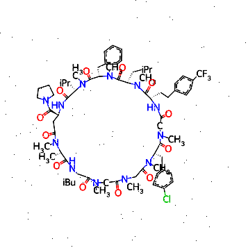 CC[C@H](C)[C@@H]1NC(=O)[C@H](C)N(C)C(=O)C[C@@H](C(=O)N2CCCC2)NC(=O)[C@H](C(C)C)N(C)C(=O)[C@H](Cc2ccccc2)N(C)C(=O)[C@H](CC(C)C)N(C)C(=O)[C@H](CCc2ccc(C(F)(F)F)cc2)NC(=O)CN(C)C(=O)[C@H](Cc2ccc(Cl)cc2)N(C)C(=O)CN(C)C(=O)CN(C)C1=O